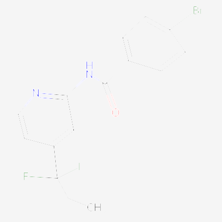 CCC(F)(F)c1ccnc(NC(=O)c2ccc(Br)cc2)c1